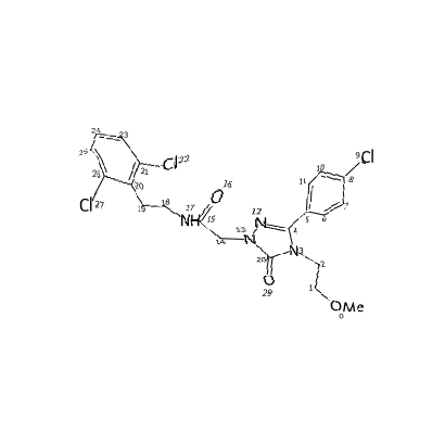 COCCn1c(-c2ccc(Cl)cc2)nn(CC(=O)NCCc2c(Cl)cccc2Cl)c1=O